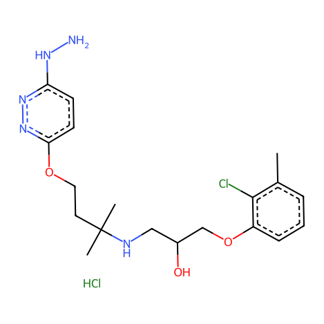 Cc1cccc(OCC(O)CNC(C)(C)CCOc2ccc(NN)nn2)c1Cl.Cl